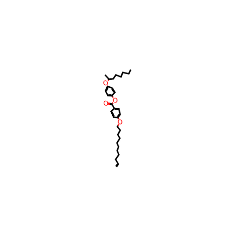 C=CCCCCCCCCCOc1ccc(C(=O)Oc2ccc(OC(C)CCCCCC)cc2)cc1